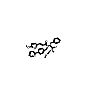 COCCN(C)C(=O)[C@H](Cc1ccccc1)N(Cc1ccc(-c2ccccn2)cc1)C(=O)C=Cc1ccc(OC)nn1